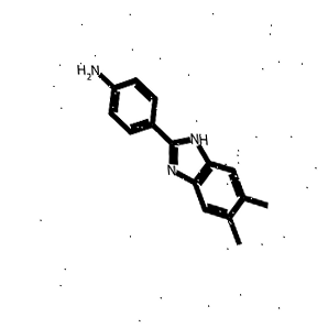 Cc1cc2nc(-c3ccc(N)cc3)[nH]c2cc1C